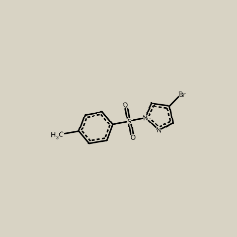 Cc1ccc(S(=O)(=O)n2cc(Br)cn2)cc1